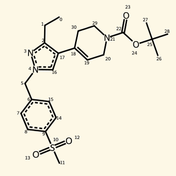 CCc1nn(Cc2ccc(S(C)(=O)=O)cc2)cc1C1=CCN(C(=O)OC(C)(C)C)CC1